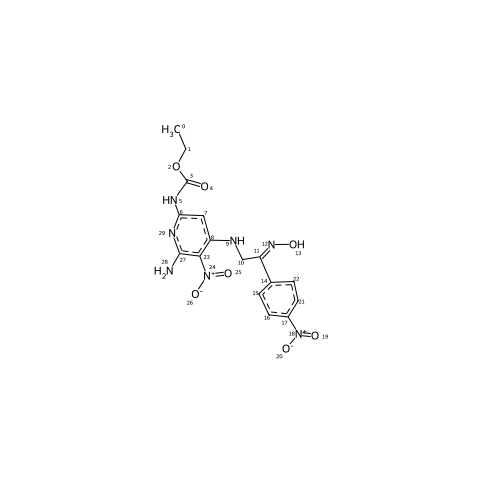 CCOC(=O)Nc1cc(NCC(=NO)c2ccc([N+](=O)[O-])cc2)c([N+](=O)[O-])c(N)n1